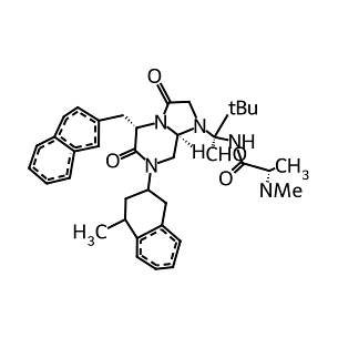 CN[C@@H](C)C(=O)N[C@@](C=O)(N1CC(=O)N2[C@@H](Cc3ccc4ccccc4c3)C(=O)N(C3Cc4ccccc4C(C)C3)C[C@@H]21)C(C)(C)C